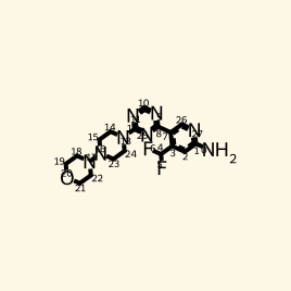 Nc1cc(C(F)F)c(-c2ncnc(N3CCN(N4CCOCC4)CC3)n2)cn1